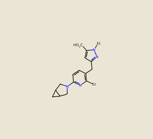 CCc1nc(N2CC3CC3C2)ccc1Cc1cc(C(=O)O)n(CC)n1